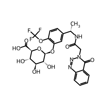 C[C@H](NC(=O)Cn1nnc2ccccc2c1=O)c1ccc(OC(F)(F)F)c(O[C@@H]2O[C@H](C(=O)O)[C@@H](O)[C@H](O)[C@H]2O)c1